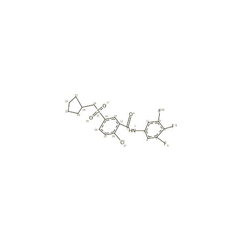 O=C(Nc1cc(F)c(F)c(F)c1)c1cc(S(=O)(=O)CC2CCCC2)ccc1Cl